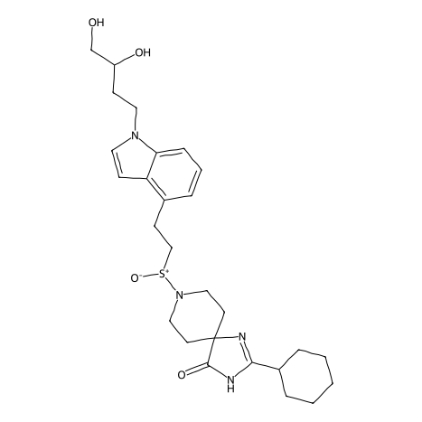 O=C1NC(C2CCCCC2)=NC12CCN([S+]([O-])CCc1cccc3c1ccn3CCC(O)CO)CC2